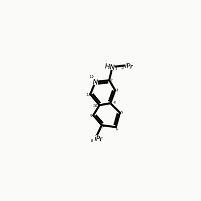 CC(C)Nc1cc2ccc(C(C)C)cc2cn1